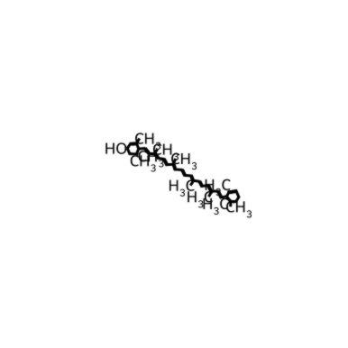 CC1=CCCC(C)(C)C1/C=C/C(C)=C/C=C/C(C)=C/C=C/C=C(C)/C=C/C=C(C)/C=C/C1C(C)=CC(O)CC1(C)C